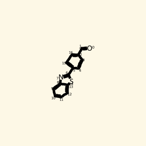 O=[C]c1ccc(-c2nc3ccccc3s2)cc1